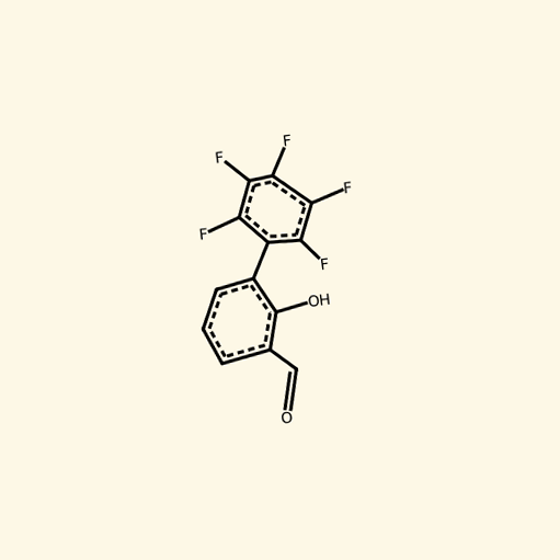 O=Cc1cccc(-c2c(F)c(F)c(F)c(F)c2F)c1O